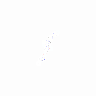 O=c1[nH]c(N2CCC(N3CCOCC3)C2)ccc1-n1ccc(OCc2ccc(Cl)cn2)cc1=O